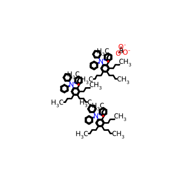 CCCCc1cc([N+](c2ccccc2)(c2ccccc2)c2ccccc2)c(CCCC)c(CCCC)c1CCCC.CCCCc1cc([N+](c2ccccc2)(c2ccccc2)c2ccccc2)c(CCCC)c(CCCC)c1CCCC.CCCCc1cc([N+](c2ccccc2)(c2ccccc2)c2ccccc2)c(CCCC)c(CCCC)c1CCCC.[O-]B([O-])[O-]